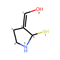 OC=C1CCNC1S